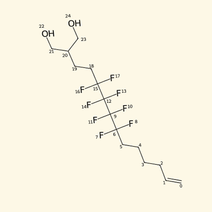 C=CCCCCC(F)(F)C(F)(F)C(F)(F)C(F)(F)CCC(CO)CO